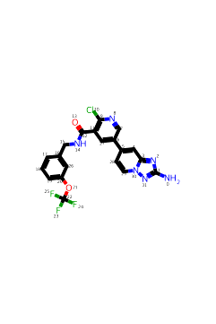 Nc1nc2cc(-c3cnc(Cl)c(C(=O)NCc4cccc(OC(F)(F)F)c4)c3)ccn2n1